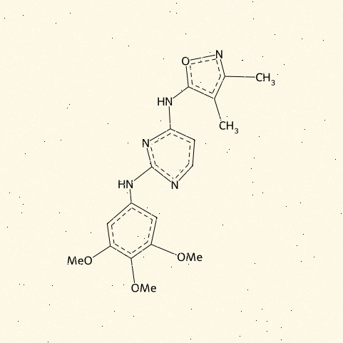 COc1cc(Nc2nccc(Nc3onc(C)c3C)n2)cc(OC)c1OC